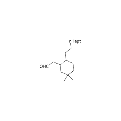 CCCCCCCCCC1CCC(C)(C)CC1CC=O